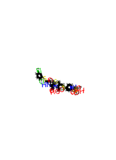 O=C(CSc1cc(Cl)ccc1Cl)N[C@H]1C(=O)N2C(C(=O)O)=C(CSc3cc[n+](CS(=O)(=O)O)cc3)CS[C@H]12